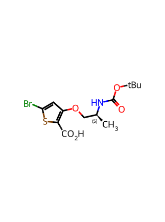 C[C@@H](COc1cc(Br)sc1C(=O)O)NC(=O)OC(C)(C)C